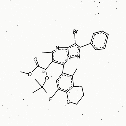 COC(=O)[C@@H](OC(C)(C)C)c1c(C)nc2c(Br)c(-c3ccccc3)nn2c1-c1cc(F)c2c(c1C)CCCO2